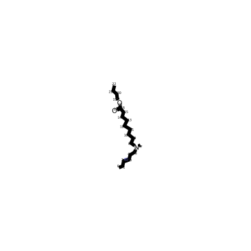 CC/C=C/CCN(C)CCCCCCCCC(=O)OCCCC